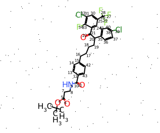 CC(C)(C)OC(=O)CCNC(=O)c1ccc(CCCCC(C(=O)c2cc(C(F)(F)F)cc(Cl)c2F)c2ccc(Cl)cc2)cc1